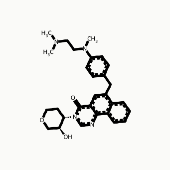 CN(C)CCN(C)c1ccc(Cc2cc3c(=O)n([C@H]4CCOC[C@@H]4O)cnc3c3ccccc23)cc1